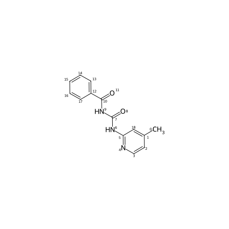 Cc1ccnc(NC(=O)NC(=O)c2ccccc2)c1